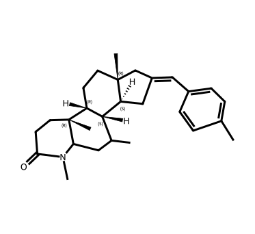 Cc1ccc(C=C2C[C@H]3[C@@H]4C(C)CC5N(C)C(=O)CC[C@]5(C)[C@@H]4CC[C@]3(C)C2)cc1